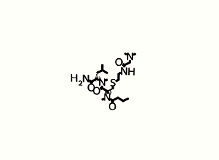 CCCC(=O)N(C)[C@H](CSCCNC(=O)CN(C)C)C(=O)N(C)[C@@H](CC(C)C)C(N)=O